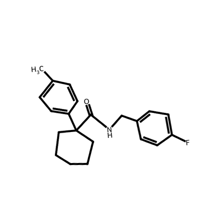 Cc1ccc(C2(C(=O)NCc3ccc(F)cc3)CCCCC2)cc1